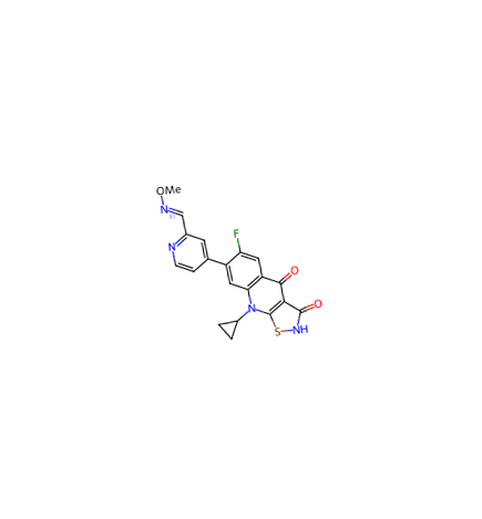 CO/N=C/c1cc(-c2cc3c(cc2F)c(=O)c2c(=O)[nH]sc2n3C2CC2)ccn1